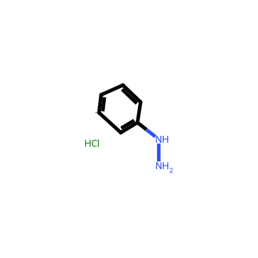 Cl.NNc1c[c]ccc1